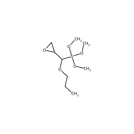 CCCO[CH](C1CO1)[Zr]([O]C)([O]C)[O]C